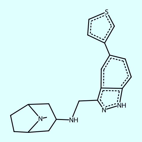 CN1C2CCC1CC(NCc1n[nH]c3ccc(-c4ccsc4)cc13)C2